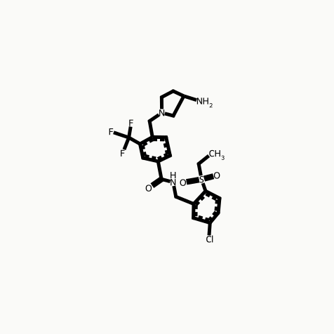 CCS(=O)(=O)c1ccc(Cl)cc1CNC(=O)c1ccc(CN2CCC(N)C2)c(C(F)(F)F)c1